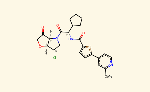 COc1cc(-c2ccc(C(=O)N[C@H](C(=O)N3C[C@H](Cl)[C@H]4OCC(=O)[C@H]43)C3CCCC3)s2)ccn1